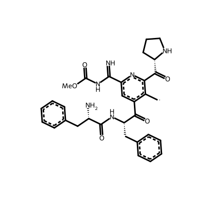 [CH2]c1c(C(=O)[C@H](Cc2ccccc2)NC(=O)[C@@H](N)Cc2ccccc2)cc(C(=N)NC(=O)OC)nc1C(=O)[C@@H]1CCCN1